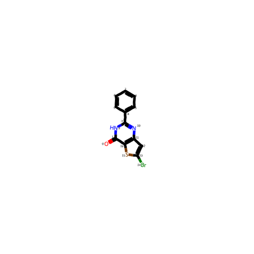 O=c1[nH]c(-c2ccccc2)nc2cc(Br)sc12